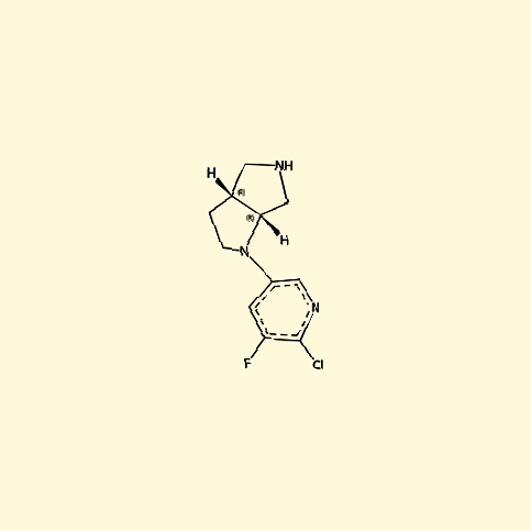 Fc1cc(N2CC[C@@H]3CNC[C@@H]32)cnc1Cl